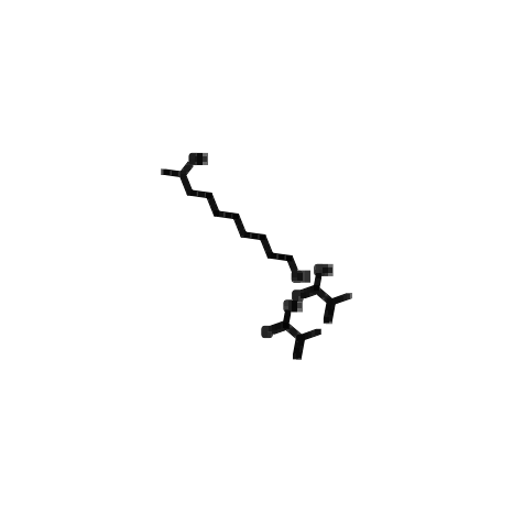 C=C(C)C(=O)O.C=C(C)C(=O)O.CC(O)CCCCCCCCO